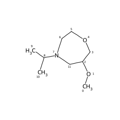 COC1COCCN(C(C)C)C1